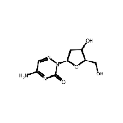 Nc1cnn([C@H]2CC(O)[C@@H](CO)O2)c(=O)n1